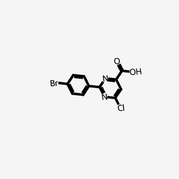 O=C(O)c1cc(Cl)nc(-c2ccc(Br)cc2)n1